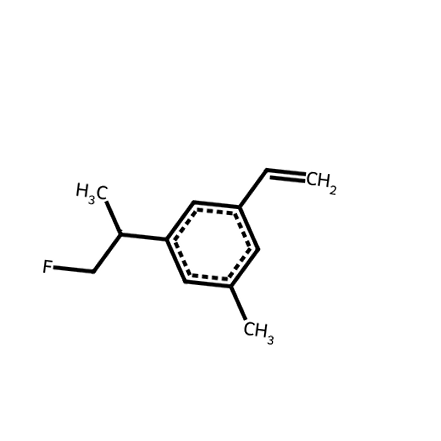 C=Cc1cc(C)cc([C](C)CF)c1